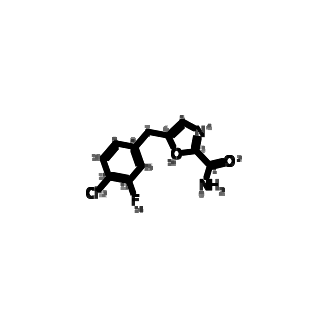 NC(=O)c1ncc([CH]c2ccc(Cl)c(F)c2)o1